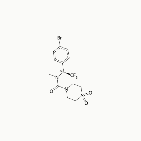 CN(C(=O)N1CCS(=O)(=O)CC1)[C@@H](c1ccc(Br)cc1)C(F)(F)F